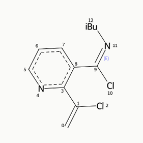 C=C(Cl)c1ncccc1/C(Cl)=N\C(C)CC